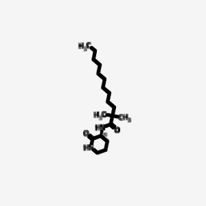 CCCCCCCCCCC(C)(C)C(=O)N[C@H]1CCCNC1=O